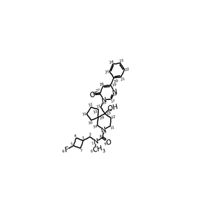 CN(CC1CC(F)C1)C(=O)N1CCC(O)(Cn2cnc(-c3ccccc3)cc2=O)C2(CCCC2)C1